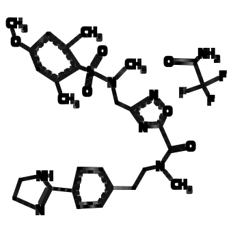 COc1cc(C)c(S(=O)(=O)N(C)Cc2noc(C(=O)N(C)CCc3ccc(C4=NCCN4)cc3)n2)c(C)c1.NC(=O)C(F)(F)F